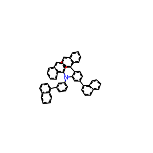 c1cc(-c2cccc3ccccc23)cc(N(c2cc(-c3cccc4ccccc34)ccc2-c2cccc3ccccc23)c2cccc3ccccc23)c1